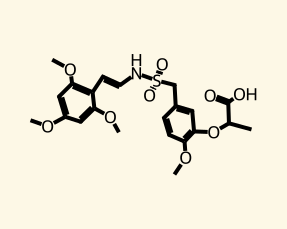 COc1cc(OC)c(C=CNS(=O)(=O)Cc2ccc(OC)c(OC(C)C(=O)O)c2)c(OC)c1